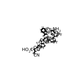 CC(C)C[C@H](NC(=O)[C@H](Cc1c[nH]c2ccccc12)N(C)C(=O)[C@H](CC(C)C)NC(=O)[C@H](CC(C)C)N(C)C(=O)[C@@H](N)CC(C)C)C(=O)N(C)[C@@H](C)C(=O)O[C@H](CCC#N)C(=O)O